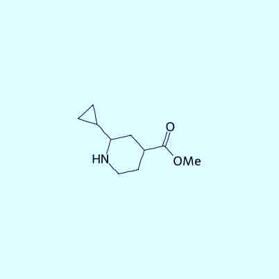 COC(=O)C1CCNC(C2CC2)C1